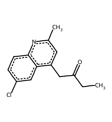 CCC(=O)Cc1cc(C)nc2ccc(Cl)cc12